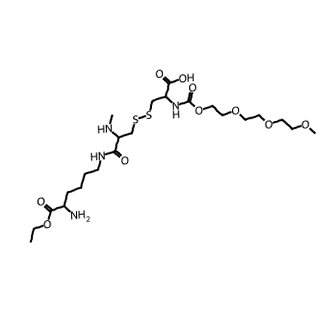 CCOC(=O)C(N)CCCCNC(=O)C(CSSCC(NC(=O)OCCOCCOCCOC)C(=O)O)NC